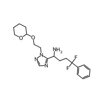 NC(CCC(F)(F)c1ccccc1)c1ncnn1CCOC1CCCCO1